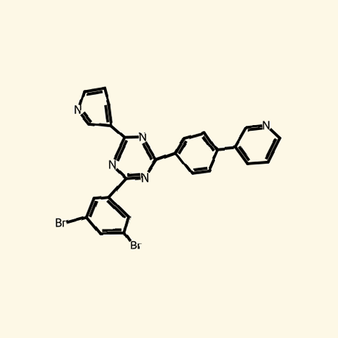 Brc1cc(Br)cc(-c2nc(-c3ccc(-c4cccnc4)cc3)nc(-c3cccnc3)n2)c1